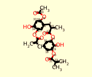 C=C(C)C(=O)Oc1cc(CC(C)C(=O)Oc2cccc(OC(=O)C(=C)C)c2O)c(OC(C)=O)cc1O